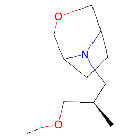 COC[C@H](C)CN1C2CCC1COC2